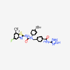 CC(C)(C)c1ccc(N(Cc2ccc(C(=O)Nc3nn[nH]n3)cc2)C(=O)Nc2nc3cc(F)cc(C(F)(F)F)c3s2)cc1